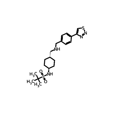 CC(C)(C)S(=O)(=O)N[C@H]1CC[C@H](CNCc2ccc(-c3csnn3)cc2)CC1